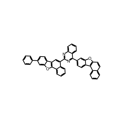 c1ccc(-c2ccc3c(c2)oc2c4ccccc4c(-c4nc(-c5ccc6c(c5)oc5ccc7ccccc7c56)c5ccccc5n4)cc32)cc1